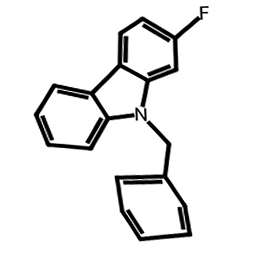 Fc1ccc2c3ccccc3n(Cc3ccccc3)c2c1